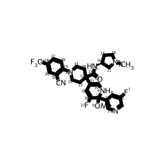 COC1(c2cncc(F)c2)NC=C(C2(C(=O)N[C@H]3CCN(C)C3)CCN(c3ccc(C(F)(F)F)cc3C#N)CC2)C=C1F